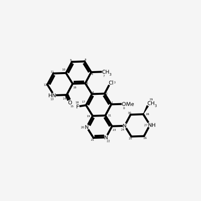 COc1c(Cl)c(-c2c(C)ccc3cc[nH]c(=O)c23)c(F)c2ncnc(N3CCN[C@H](C)C3)c12